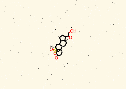 C[C@]12CCC3C(C[C@@H]4C5=CC(=O)CC[C@@]53CS4(=O)=O)C1CCC2C(=O)CO